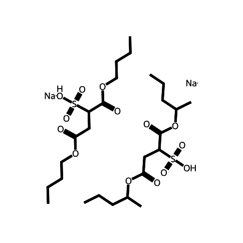 CCCC(C)OC(=O)CC(C(=O)OC(C)CCC)S(=O)(=O)O.CCCCOC(=O)CC(C(=O)OCCCC)S(=O)(=O)O.[Na].[Na]